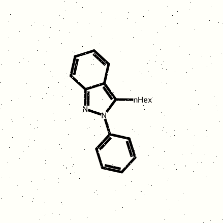 CCCCCCc1c2ccccc2nn1-c1ccccc1